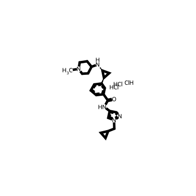 CN1CCC(N[C@@H]2C[C@H]2c2cccc(C(=O)Nc3cnn(CC4CC4)c3)c2)CC1.Cl.Cl.Cl